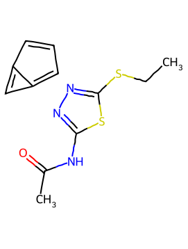 CCSc1nnc(NC(C)=O)s1.c1cc2cc-2c1